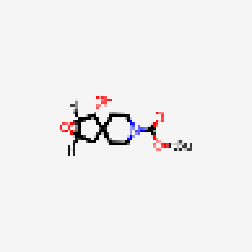 CC(C)(C)OC(=O)N1CCC2(CC1)C[C@@H]1O[C@@H]1[C@@H]2O